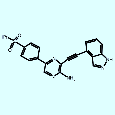 CC(C)S(=O)(=O)c1ccc(-c2cnc(N)c(C#Cc3cccc4[nH]ncc34)n2)cc1